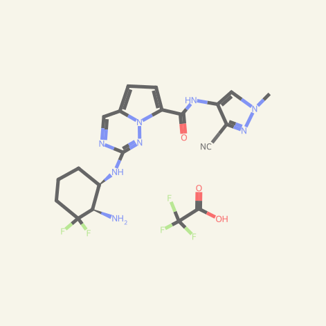 Cn1cc(NC(=O)c2ccc3cnc(N[C@@H]4CCCC(F)(F)[C@@H]4N)nn23)c(C#N)n1.O=C(O)C(F)(F)F